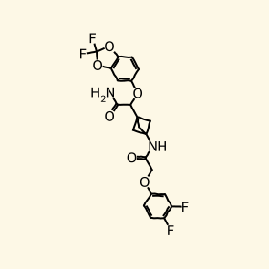 NC(=O)C(Oc1ccc2c(c1)OC(F)(F)O2)C12CC(NC(=O)COc3ccc(F)c(F)c3)(C1)C2